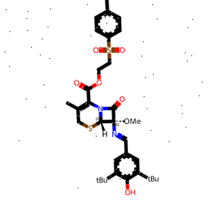 CO[C@@]1(N=Cc2cc(C(C)(C)C)c(O)c(C(C)(C)C)c2)C(=O)N2C(C(=O)OCCS(=O)(=O)c3ccc(C)cc3)=C(C)CS[C@H]21